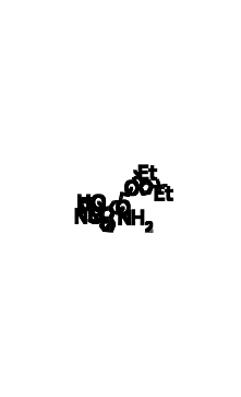 CCC(C)(C)c1ccc(OCCCCc2c(O)c(Sc3ccccc3[N+](=O)[O-])c3ccccc3c2C(N)=O)c(C(C)(C)CC)c1